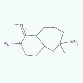 BC1(C)CCCC2/C(=N/C)N(C(C)CC)CCC2C1